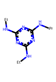 CCNc1nc(NCC)nc(NC(C)C)n1